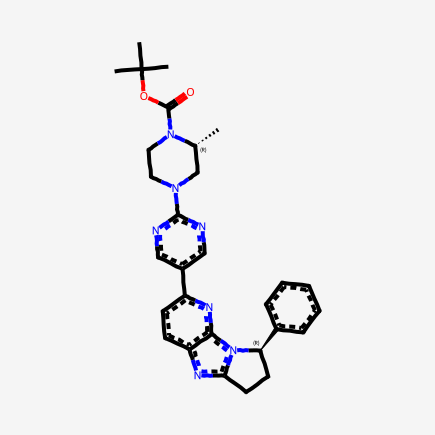 C[C@@H]1CN(c2ncc(-c3ccc4nc5n(c4n3)[C@@H](c3ccccc3)CC5)cn2)CCN1C(=O)OC(C)(C)C